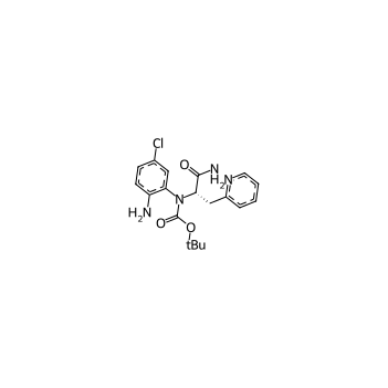 CC(C)(C)OC(=O)N(c1cc(Cl)ccc1N)[C@@H](Cc1ccccn1)C(N)=O